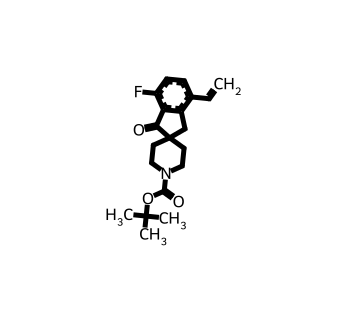 C=Cc1ccc(F)c2c1CC1(CCN(C(=O)OC(C)(C)C)CC1)C2=O